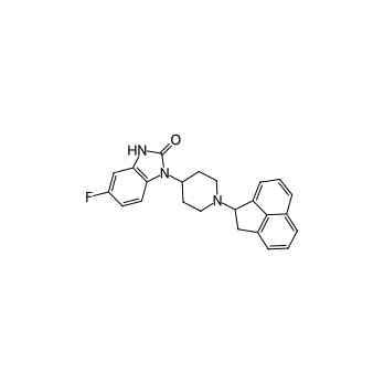 O=c1[nH]c2cc(F)ccc2n1C1CCN(C2Cc3cccc4cccc2c34)CC1